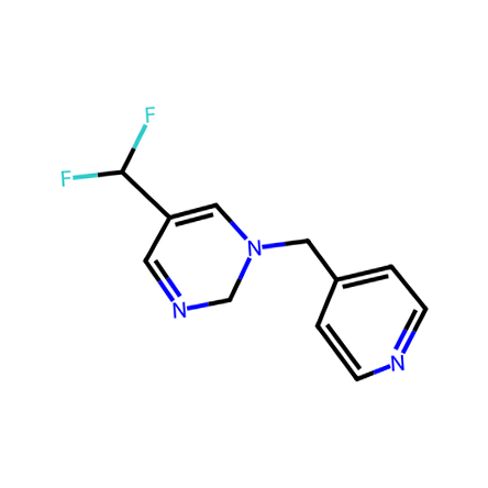 FC(F)C1=CN(Cc2ccncc2)CN=C1